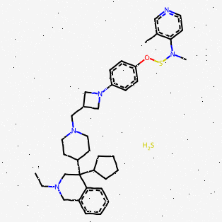 CCN1Cc2ccccc2C(C2CCCC2)(C2CCN(CC3CN(c4ccc(OSN(C)c5ccncc5C)cc4)C3)CC2)C1.S